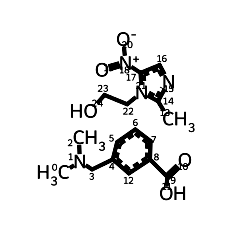 CN(C)Cc1cccc(C(=O)O)c1.Cc1ncc([N+](=O)[O-])n1CCO